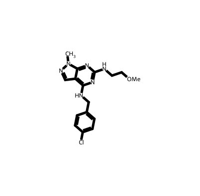 COCCNc1nc(NCc2ccc(Cl)cc2)c2cnn(C)c2n1